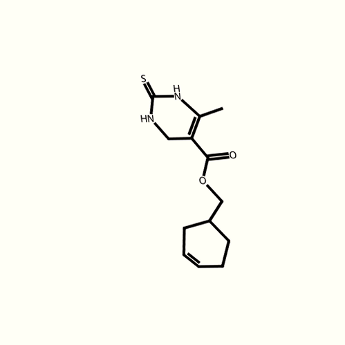 CC1=C(C(=O)OCC2CC=CCC2)CNC(=S)N1